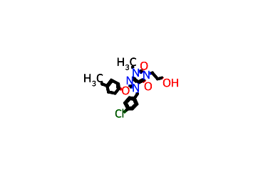 CCC1=CC=C(Oc2nc3c(c(=O)n(CCCO)c(=O)n3CC)n2Cc2ccc(Cl)cc2)CC1